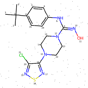 CC(C)(C)c1ccc(N/C(=N/O)N2CCN(c3nsnc3Cl)CC2)cc1